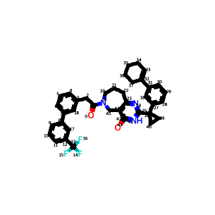 O=C(Cc1cccc(-c2cccc(C(F)(F)F)c2)c1)N1CCCc2nc(C3(c4cccc(C5=CCCCC5)c4)CC3)[nH]c(=O)c2C1